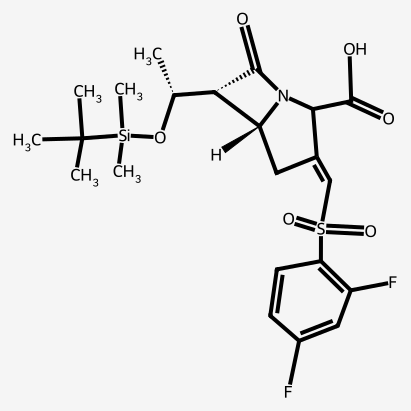 C[C@@H](O[Si](C)(C)C(C)(C)C)[C@@H]1C(=O)N2C(C(=O)O)C(=CS(=O)(=O)c3ccc(F)cc3F)C[C@H]12